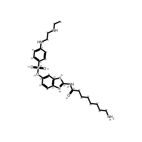 CCNCCNc1ccc(S(=O)(=O)Oc2ccc3nc(NC(=O)CCCCCCCN)sc3c2)cc1